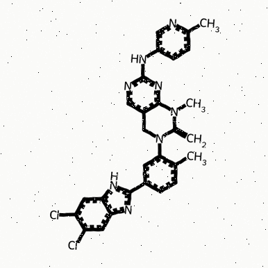 C=C1N(C)c2nc(Nc3ccc(C)nc3)ncc2CN1c1cc(-c2nc3cc(Cl)c(Cl)cc3[nH]2)ccc1C